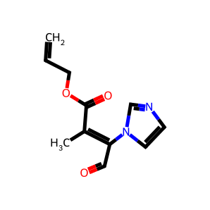 C=CCOC(=O)C(C)=C(C=O)n1ccnc1